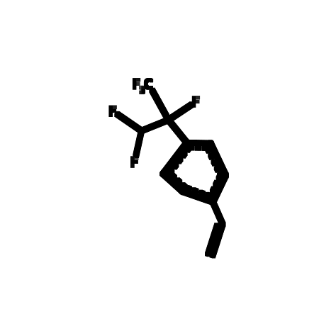 C=Cc1ccc(C(F)(C(F)F)C(F)(F)F)cc1